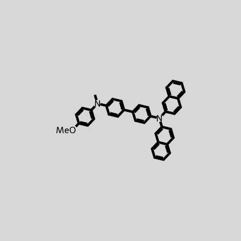 COc1ccc(N(C)c2ccc(-c3ccc(N(c4ccc5ccccc5c4)c4ccc5ccccc5c4)cc3)cc2)cc1